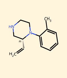 C=C[C@@H]1CNCCN1c1ccccc1C